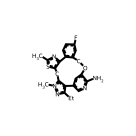 CCc1nn(C)c2c1-c1cnc(N)c(c1)OCc1cc(F)ccc1-c1nc(C)sc1C2